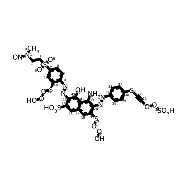 CN(CCS(=O)(=O)c1ccc(N=Nc2c(S(=O)(=O)O)cc3cc(SOOO)c(N=Nc4ccc(SC#COOS(=O)(=O)O)cc4)c(N)c3c2O)c(SOOO)c1)N=O